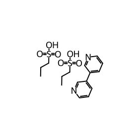 CCCS(=O)(=O)O.CCCS(=O)(=O)O.c1cncc(-c2cccnc2)c1